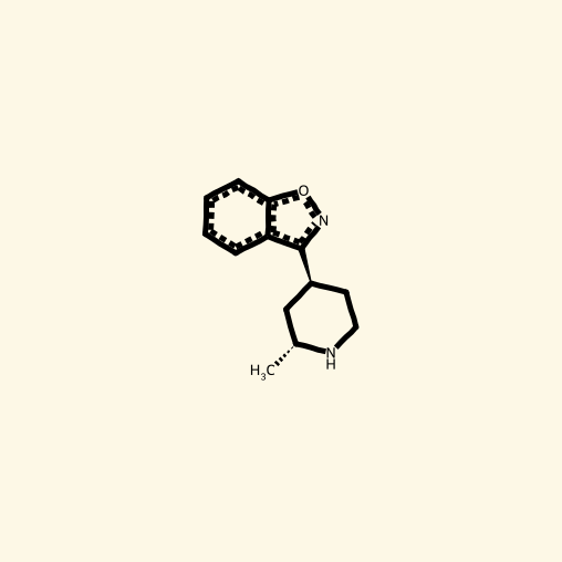 C[C@@H]1C[C@@H](c2noc3ccccc23)CCN1